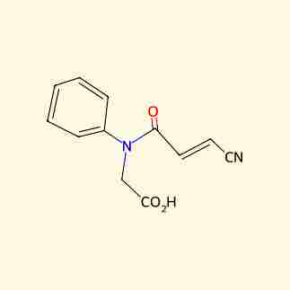 N#C/C=C/C(=O)N(CC(=O)O)c1ccccc1